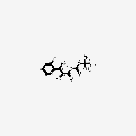 CC(C)(C)OC(=O)OC(=O)C(O)C(N)c1ncccc1F